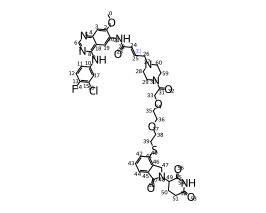 COc1cc2ncnc(Nc3ccc(F)c(Cl)c3)c2cc1NC(=O)/C=C/CN1CCN(C(=O)COCCOCCSc2cccc3c2CN(C2CCC(=O)NC2=O)C3=O)CC1